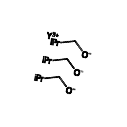 CC(C)C[O-].CC(C)C[O-].CC(C)C[O-].[Y+3]